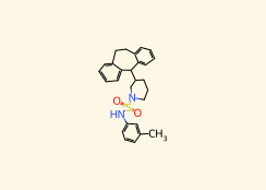 Cc1cccc(NS(=O)(=O)N2CCCC(C3c4ccccc4CCc4ccccc43)C2)c1